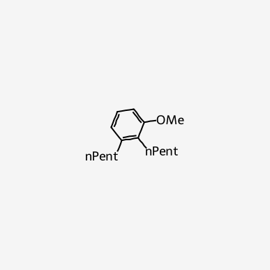 CCCCCc1cccc(OC)c1CCCCC